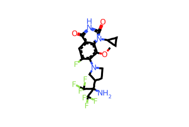 COc1c(N2CCC(C(N)(C(F)(F)F)C(F)(F)F)C2)c(F)cc2c(=O)[nH]c(=O)n(C3CC3)c12